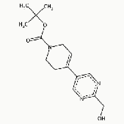 CC(C)(C)OC(=O)N1CC=C(c2cnc(CO)nc2)CC1